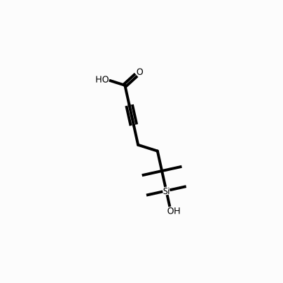 CC(C)(CCC#CC(=O)O)[Si](C)(C)O